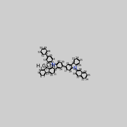 CC1(C)c2ccccc2-c2ccc3c4cc(-c5ccc6c(c5)c5ccccc5n6-c5ccc6ccccc6c5)ccc4n(-c4ccc(-c5ccccc5)cc4)c3c21